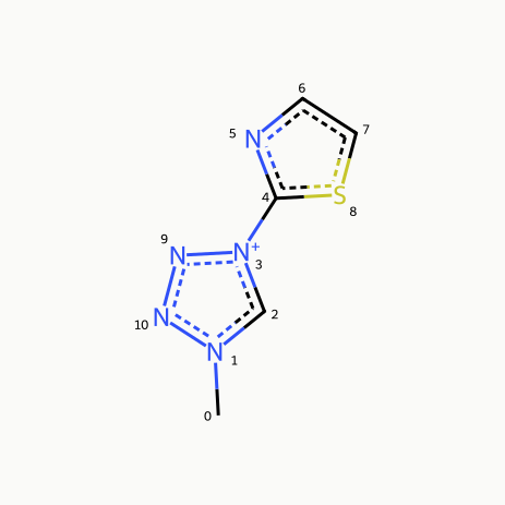 Cn1c[n+](-c2nccs2)nn1